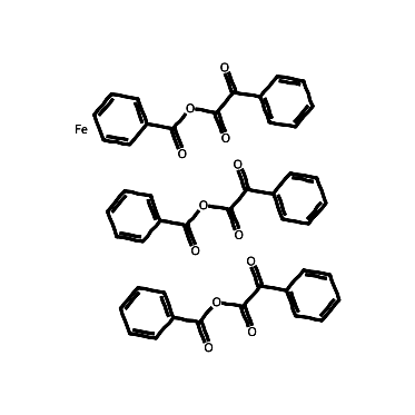 O=C(OC(=O)c1ccccc1)C(=O)c1ccccc1.O=C(OC(=O)c1ccccc1)C(=O)c1ccccc1.O=C(OC(=O)c1ccccc1)C(=O)c1ccccc1.[Fe]